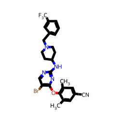 Cc1cc(C#N)cc(C)c1Oc1nc(NC2CCN(Cc3cccc(C(F)(F)F)c3)CC2)ncc1Br